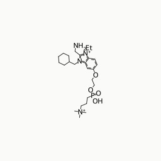 CC[n+]1c(CN)n(CC2CCCCC2)c2cc(OCCOP(=O)(O)CCC[N+](C)(C)C)ccc21